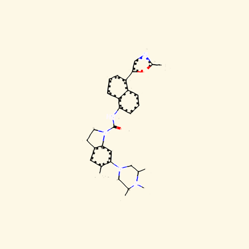 COc1cc2c(cc1N1CC(C)N(C)C(C)C1)N(C(=O)Nc1cccc3c(-c4cnc(C)o4)cccc13)CC2